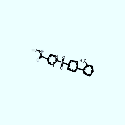 Cc1ccccc1-c1ccc(S(=O)(=O)c2ncc(C(=O)NO)cn2)cc1